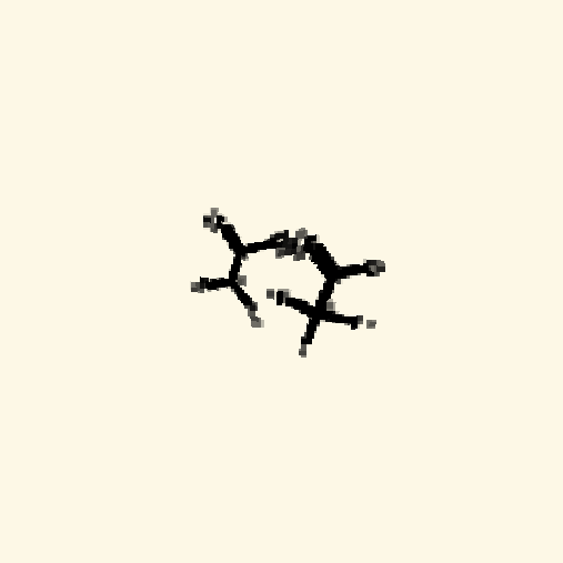 C=C(Cl)C(F)(F)F.C=C(Cl)C(F)F